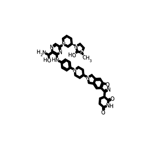 CN1CCN([C@@H]2CCCN(c3cnc(C(N)O)c(Nc4ccc(N5CCC(N6Cc7cc8onc(C9CCC(=O)NC9=O)c8cc7C6)CC5)cc4)n3)C2)C1O